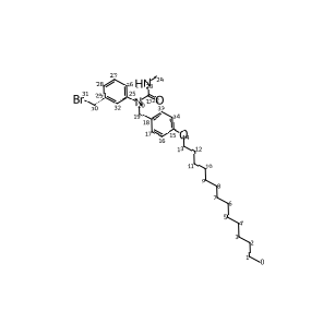 CCCCCCCCCCCCCCOc1ccc(CN(C(=O)NC)c2cccc(CBr)c2)cc1